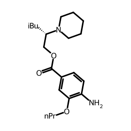 CCCOc1cc(C(=O)OC[C@H](C(C)CC)N2CCCCC2)ccc1N